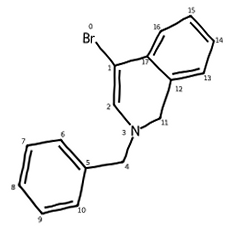 BrC1=CN(Cc2ccccc2)Cc2ccccc21